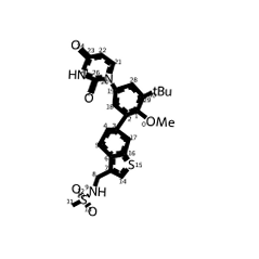 COc1c(-c2ccc3c(CNS(C)(=O)=O)csc3c2)cc(-n2ccc(=O)[nH]c2=O)cc1C(C)(C)C